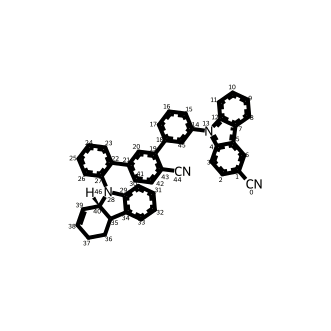 N#Cc1ccc2c(c1)c1ccccc1n2-c1cccc(-c2cc(-c3ccccc3N3c4ccccc4C4CCC=C[C@@H]43)ccc2C#N)c1